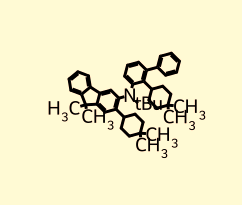 CC1(C)CCC(c2cc3c(cc2N(c2cccc(-c4ccccc4)c2C2CCC(C)(C)CC2)C(C)(C)C)-c2ccccc2C3(C)C)CC1